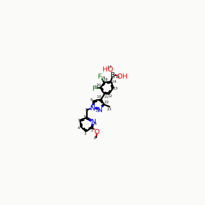 COc1cccc(Cn2cc(-c3ccc(B(O)O)c(F)c3F)c(C)n2)n1